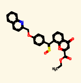 CCOC(=O)c1cc(=O)c2cccc(C(=S=O)c3ccc(OCc4ccc5ccccc5n4)cc3)c2o1